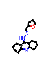 C(=NNc1c2ccccc2nc2ccccc12)c1ccco1